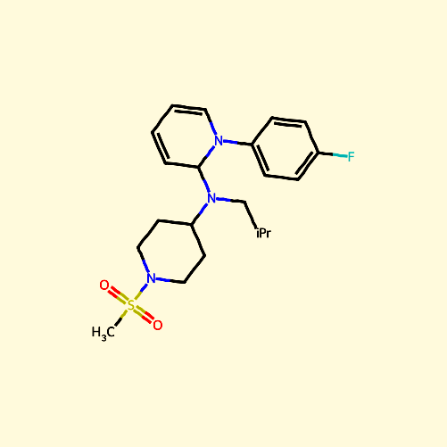 CC(C)CN(C1CCN(S(C)(=O)=O)CC1)C1C=CC=CN1c1ccc(F)cc1